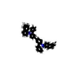 C1=CC2C(C=C1c1ccc3c(c1)c1ccccc1n3-c1cccc3ccccc13)c1ccccc1N2c1ccc2ccccc2c1